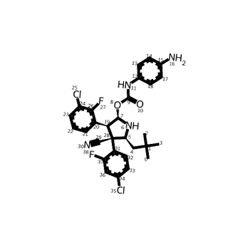 CC(C)(C)C[C@@H]1N[C@H](OC(=O)Nc2ccc(N)cc2)[C@H](c2cccc(Cl)c2F)[C@@]1(C#N)c1ccc(Cl)cc1F